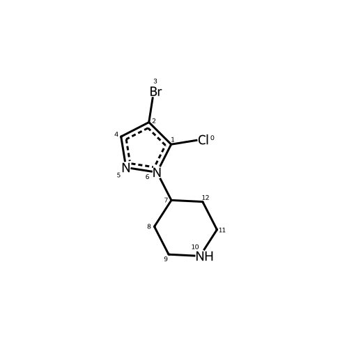 Clc1c(Br)cnn1C1CCNCC1